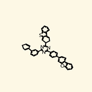 C1=CC(c2cccc(-c3nc(-c4ccc(-c5ccc6c(c5)oc5ccccc56)cc4)nc(C4C=c5sc6ccccc6c5=CC4)n3)c2)=CCC1